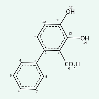 O=C(O)c1c(-c2ccccc2)ccc(O)c1O